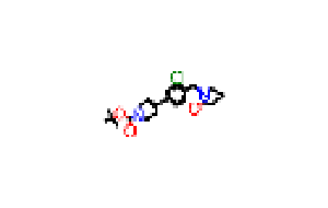 CC(C)(C)OC(=O)N1CC=C(c2ccc(CN3CCCC3=O)c(Cl)c2)CC1